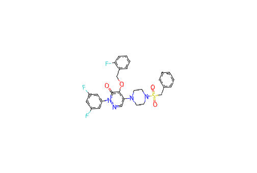 O=c1c(OCc2ccccc2F)c(N2CCN(S(=O)(=O)Cc3ccccc3)CC2)cnn1-c1cc(F)cc(F)c1